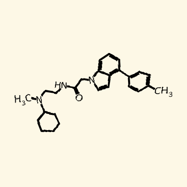 Cc1ccc(-c2cccc3c2ccn3CC(=O)NCCN(C)C2CCCCC2)cc1